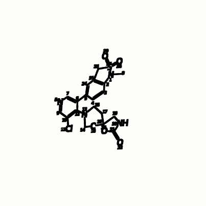 CN1c2ccc(-c3cncc(Cl)c3N3CCC4(CC3)CNC(=O)O4)cc2CS1(=O)=O